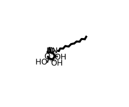 CCCCCCCCCCCCN[C@H]1[C@@H](O)[C@H](O)[C@@H](CO)OC1(C)OC